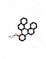 COCOc1ccc2ccccc2c1-c1c(-c2ccccc2)ccc2ccccc12